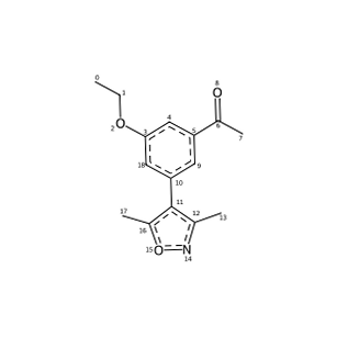 CCOc1cc(C(C)=O)cc(-c2c(C)noc2C)c1